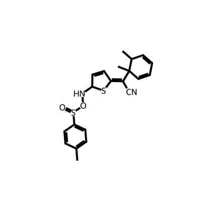 Cc1ccc(S(=O)ONC2C=C/C(=C(/C#N)C3(C)C=CC=CC3C)S2)cc1